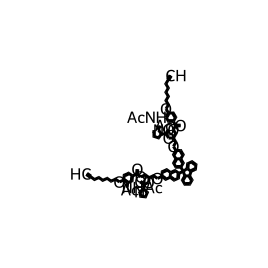 C#CCCCCCCOc1ccc(C(=O)OCC(COc2ccc3cc(C4(c5ccc6cc(OCC(COC(=O)c7ccc(OCCCCCCC#C)c(NC(C)=O)c7)OC(=O)C7CCCN7C(C)=O)ccc6c5)c5ccccc5-c5ccccc54)ccc3c2)OC(=O)C2CCCN2C(C)=O)cc1NC(C)=O